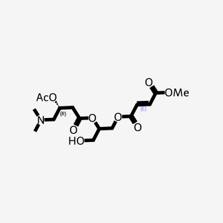 COC(=O)/C=C/C(=O)OCC(CO)OC(=O)C[C@H](CN(C)C)OC(C)=O